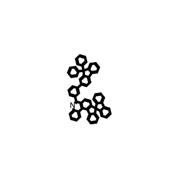 c1ccc(C2(c3ccccc3)c3ccccc3-c3ccc(-c4cccc(-c5nc6ccccc6c6c7c(ccc56)C5(c6ccccc6-c6ccccc65)c5ccccc5-7)c4)cc32)cc1